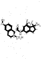 CCOc1ccc2c(c1)CCN(C(=O)O)[C@H]2C(=O)Nc1cc(F)c2c(c1)CCC2(C)C